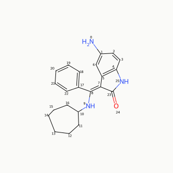 Nc1ccc2c(c1)/C(=C(/NC1CCCCCC1)c1ccccc1)C(=O)N2